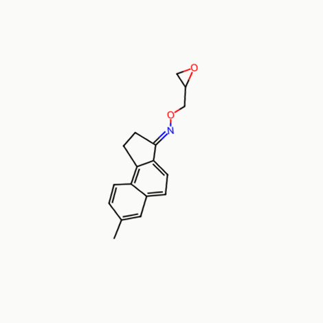 Cc1ccc2c3c(ccc2c1)C(=NOCC1CO1)CC3